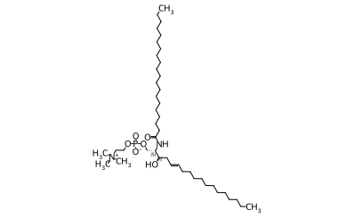 CCCCCCCCCCCCC=CC[C@@H](O)[C@H](COP(=O)([O-])OCC[N+](C)(C)C)NC(=O)CCCCCCCCCCCCCCCCCCC